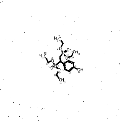 CCOP(=O)(CC(c1ccc(O)cc1)P(=O)(OCC)OCC)OCC